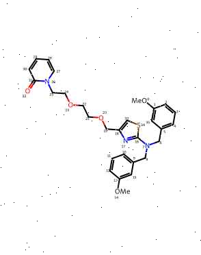 COc1cccc(CN(Cc2cccc(OC)c2)c2nc(COCCOCCn3ccccc3=O)cs2)c1